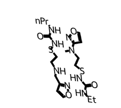 CCCNC(=O)NSCCNCc1ccon1.CCNC(=O)NSCCN(C)c1ccon1